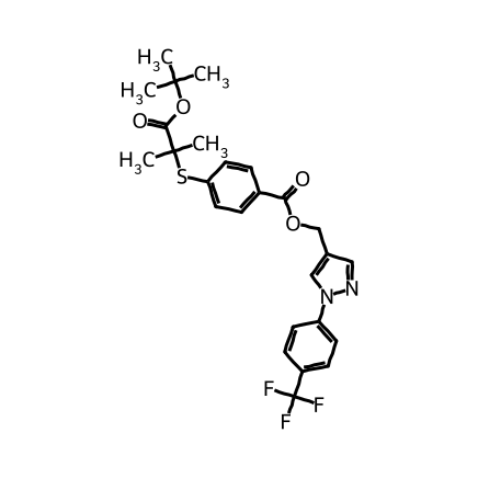 CC(C)(C)OC(=O)C(C)(C)Sc1ccc(C(=O)OCc2cnn(-c3ccc(C(F)(F)F)cc3)c2)cc1